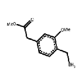 BCc1ccc(CC(=O)OC)cc1OC